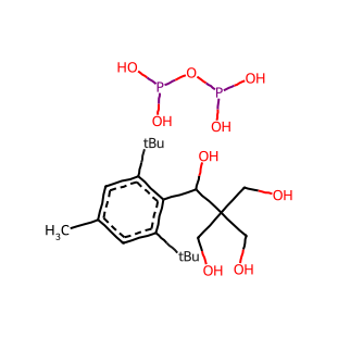 Cc1cc(C(C)(C)C)c(C(O)C(CO)(CO)CO)c(C(C)(C)C)c1.OP(O)OP(O)O